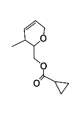 CC1C=CCOC1COC(=O)C1CC1